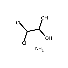 N.OC(O)C(Cl)Cl